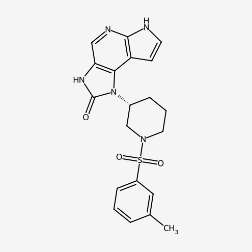 Cc1cccc(S(=O)(=O)N2CCC[C@@H](n3c(=O)[nH]c4cnc5[nH]ccc5c43)C2)c1